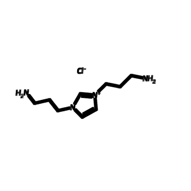 NCCCn1cc[n+](CCCN)c1.[Cl-]